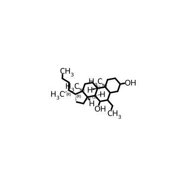 CCC[C@@H](C)[C@H]1CC[C@H]2[C@@H]3C(O)C(CC)C4CC(O)CC[C@]4(C)[C@H]3CC[C@]12C